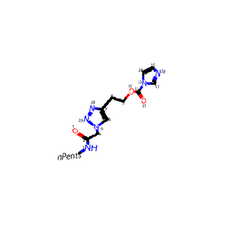 CCCCCNC(=O)Cn1cc(CCOC(=O)n2ccnc2)nn1